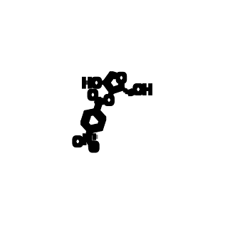 O=C(O[C@H]1[C@H](O)CO[C@@H]1CO)c1ccc([N+](=O)[O-])cc1